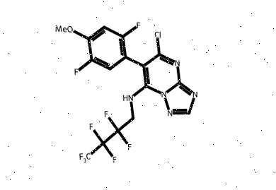 COc1cc(F)c(-c2c(Cl)nc3ncnn3c2NCC(F)(F)C(F)(F)C(F)(F)F)cc1F